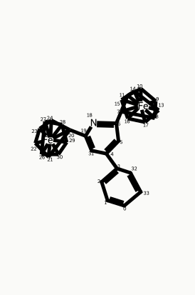 c1ccc(-c2cc([C]34[CH]5[CH]6[CH]7[CH]3[Fe]6754389%10[CH]4[CH]3[CH]8[CH]9[CH]4%10)nc([C]34[CH]5[CH]6[CH]7[CH]3[Fe]6754389%10[CH]4[CH]3[CH]8[CH]9[CH]4%10)c2)cc1